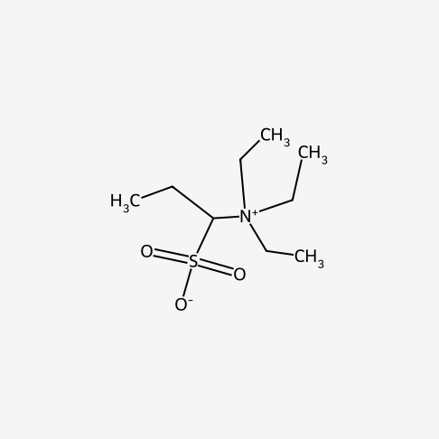 CCC([N+](CC)(CC)CC)S(=O)(=O)[O-]